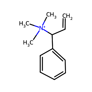 C=CC(c1ccccc1)[N+](C)(C)C